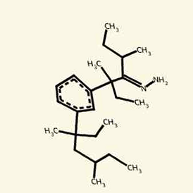 CCC(C)CC(C)(CC)c1cccc(C(C)(CC)C(=NN)C(C)CC)c1